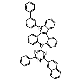 c1ccc(-c2cccc(-n3c4c(c5ccccc53)-c3ccccc3N(c3nc(-c5ccccc5)nc(-c5ccc6ccccc6c5)n3)c3ccccc3-4)c2)cc1